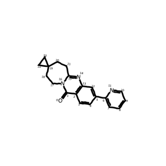 O=c1c2ccc(-c3ccccn3)cc2nc2n1CCC1(CC2)CC1